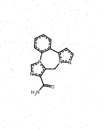 NC(=O)c1ncn2c1Cn1nccc1-c1ccccc1-2